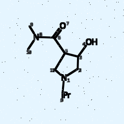 CC(C)N1CC(O)C(C(=O)N(C)C)C1